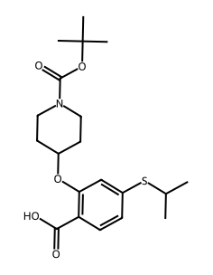 CC(C)Sc1ccc(C(=O)O)c(OC2CCN(C(=O)OC(C)(C)C)CC2)c1